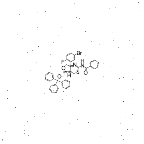 O=C(NC1=N[C@]2(c3cc(Br)ccc3F)CO[C@@H](COC(c3ccccc3)(c3ccccc3)c3ccccc3)[C@@H]2CS1)c1ccccc1